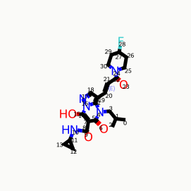 CC(C)Cn1c(=O)c(C(=O)NC2CC2)c(O)n2ncc(/C=C/C(=O)N3CCC(F)CC3)c12